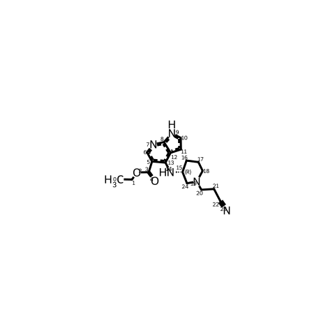 CCOC(=O)c1cnc2[nH]ccc2c1N[C@@H]1CCCN(CCC#N)C1